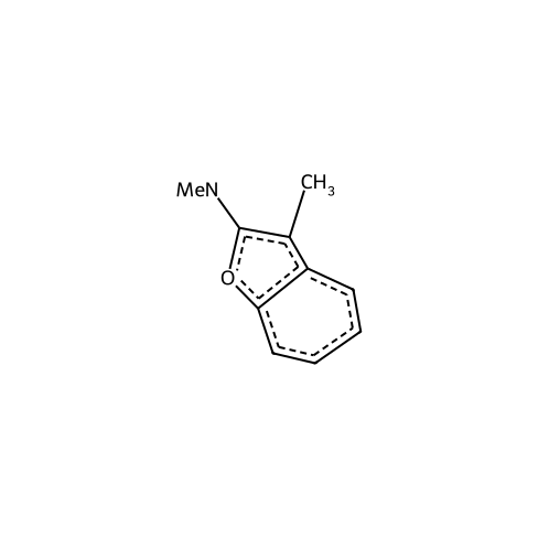 CNc1oc2ccccc2c1C